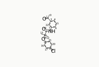 CC(=O)c1cccc(NC(=O)C(C)(C)Oc2ccc(Cl)cc2)c1